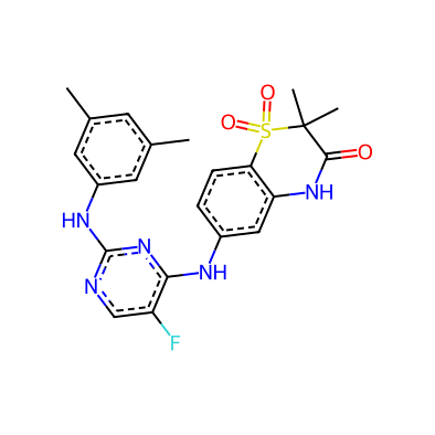 Cc1cc(C)cc(Nc2ncc(F)c(Nc3ccc4c(c3)NC(=O)C(C)(C)S4(=O)=O)n2)c1